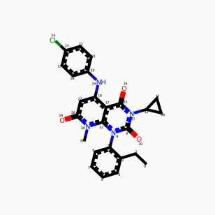 CCc1ccccc1-n1c(=O)n(C2CC2)c(=O)c2c(Nc3ccc(Cl)cc3)cc(=O)n(C)c21